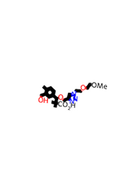 COCCOCCn1cc(CO[C@H](c2ccc(C)c(CO)c2)C(C)(C)C(=O)O)nn1